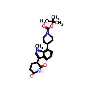 Cn1cc(C2CCC(=O)NC2=O)c2cccc(C3CCN(C(=O)OC(C)(C)C)CC3)c21